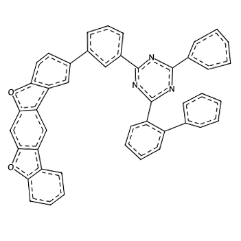 c1ccc(-c2nc(-c3cccc(-c4ccc5oc6cc7oc8ccccc8c7cc6c5c4)c3)nc(-c3ccccc3-c3ccccc3)n2)cc1